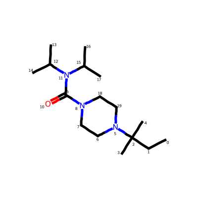 CCC(C)(C)N1CCN(C(=O)N(C(C)C)C(C)C)CC1